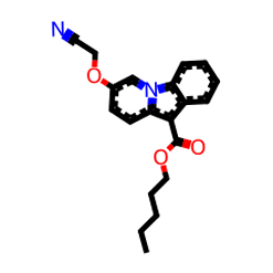 CCCCCOC(=O)c1c2ccccc2n2cc(OCC#N)ccc12